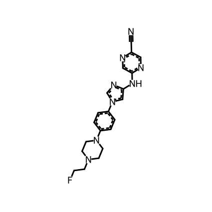 N#Cc1cnc(Nc2cn(-c3ccc(N4CCN(CCF)CC4)cc3)cn2)cn1